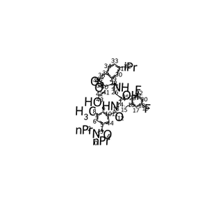 CCCN(CCC)C(=O)c1cc(C)cc(C(=O)N[C@@H](Cc2cc(F)cc(F)c2)[C@H](O)CN[C@@H]2c3cc(C(C)C)ccc3CS(=O)(=O)[C@H]2CCO)c1